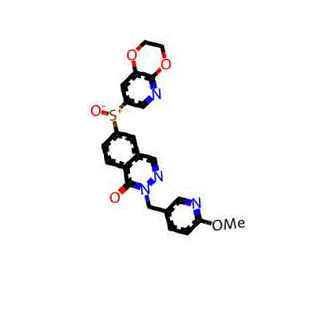 COc1ccc(Cn2ncc3cc([S+]([O-])c4cnc5c(c4)OCCO5)ccc3c2=O)cn1